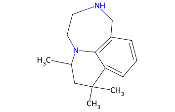 CC1CC(C)(C)c2cccc3c2N1CCNC3